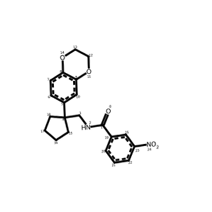 O=C(NCC1(c2ccc3c(c2)OCCO3)CCCC1)c1cccc([N+](=O)[O-])c1